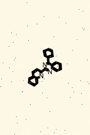 c1ccc(-c2nc(-c3ccc4ccccc4n3)nc3ccccc23)cc1